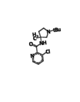 CC1(NC(=O)c2ncccc2Cl)CCN(C(C)(C)C)C1